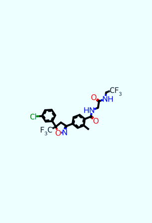 Cc1cc(C2=NOC(c3cccc(Cl)c3)(C(F)(F)F)C2)ccc1C(=O)NCC(=O)NCC(F)(F)F